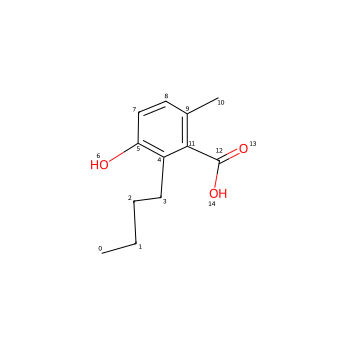 CCCCc1c(O)ccc(C)c1C(=O)O